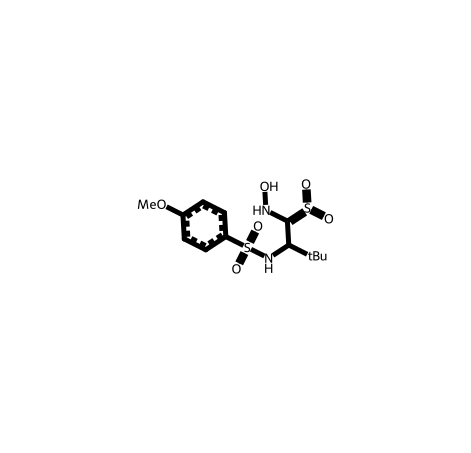 COc1ccc(S(=O)(=O)NC(C(NO)=S(=O)=O)C(C)(C)C)cc1